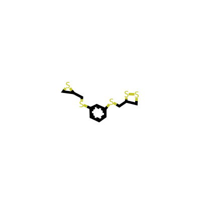 c1cc(SCC2CS2)cc(SCC2CSS2)c1